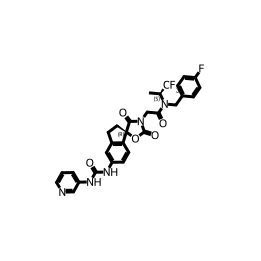 C[C@H](N(Cc1ccc(F)cc1)C(=O)CN1C(=O)O[C@@]2(CCc3cc(NC(=O)Nc4cccnc4)ccc32)C1=O)C(F)(F)F